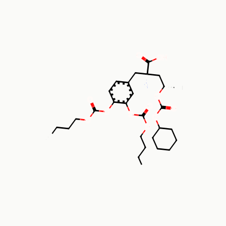 CCCCOC(=O)Oc1ccc(C[C@](N)(C[C@H](C)OC(=O)OC2CCCCC2)C(=O)O)cc1OC(=O)OCCCC